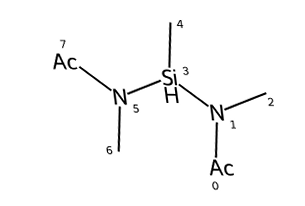 CC(=O)N(C)[SiH](C)N(C)C(C)=O